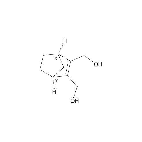 OCC1=C(CO)[C@H]2CC[C@@H]1C2